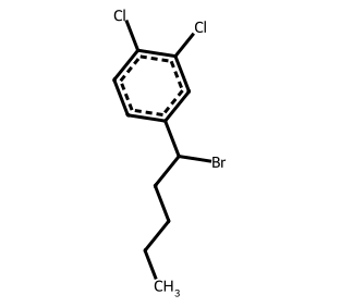 CCCCC(Br)c1ccc(Cl)c(Cl)c1